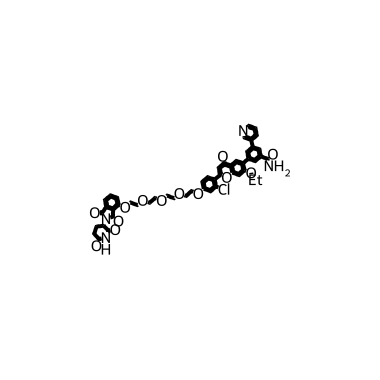 CCOc1cc2oc(-c3ccc(OCCOCCOCCOCCOc4cccc5c4C(=O)N(C4CCC(=O)NC4=O)C5=O)cc3Cl)cc(=O)c2cc1-c1cc(C(N)=O)cc(-c2cccnc2)c1